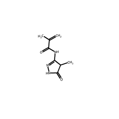 C=C(C)C(=O)NC1=NNC(=O)C1C